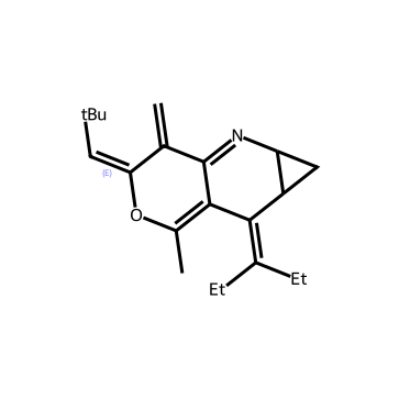 C=C1C2=NC3CC3C(=C(CC)CC)C2=C(C)O/C1=C/C(C)(C)C